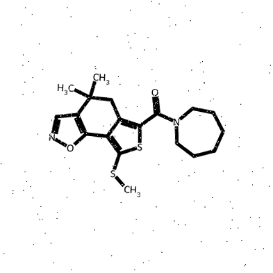 CSc1sc(C(=O)N2CCCCCC2)c2c1-c1oncc1C(C)(C)C2